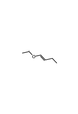 C[CH]OC=CCC